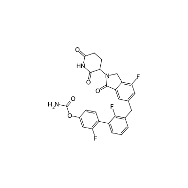 NC(=O)Oc1ccc(-c2cccc(Cc3cc(F)c4c(c3)C(=O)N(C3CCC(=O)NC3=O)C4)c2F)c(F)c1